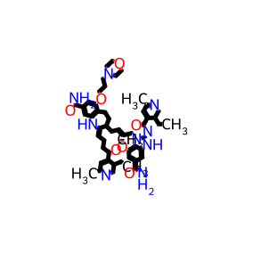 CCC1CN=C(C)C=C1C(=O)CC/C=C1/Nc2cc(C(N)=O)cc(OCCCN3CCOCC3)c2CCC1C/C=C/Cn1/c(=N\C(=O)C2=CC(C)=NCC2CC)[nH]c2cc(C(N)=O)cc(OC)c21